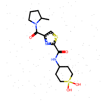 CC1CCCN1C(=O)c1csc(C(=O)NC2CCS(O)(O)CC2)n1